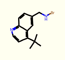 CC(C)(C)c1ccnc2ccc(CNBr)cc12